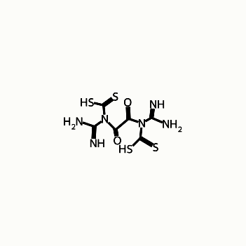 N=C(N)N(C(=O)C(=O)N(C(=N)N)C(=S)S)C(=S)S